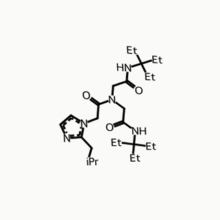 CCC(CC)(CC)NC(=O)CN(CC(=O)NC(CC)(CC)CC)C(=O)Cn1ccnc1CC(C)C